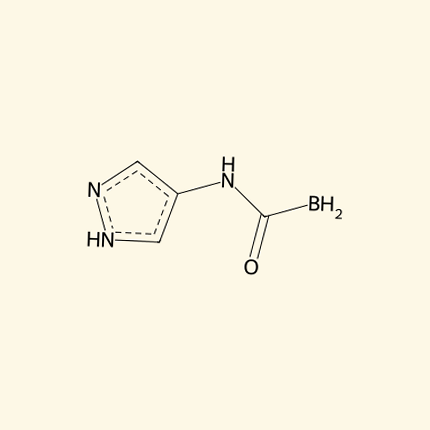 BC(=O)Nc1cn[nH]c1